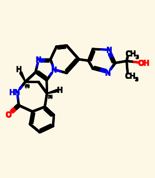 CC(C)(O)c1ncc(-c2ccc3nc4c(n3c2)[C@H]2C[C@@H]4NC(=O)c3ccccc32)cn1